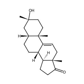 C[C@@]1(O)CC[C@]2(C)C3=CC[C@]4(C)C(=O)CC[C@H]4[C@@H]3CC[C@@H]2C1